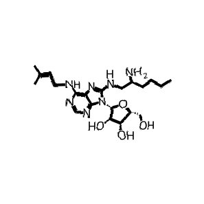 CCCCC(N)CNc1nc2c(NCC=C(C)C)ncnc2n1[C@@H]1O[C@H](CO)[C@@H](O)[C@H]1O